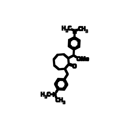 COC(c1ccc(N(C)C)cc1)C1CCCCCC(Cc2ccc(N(C)C)cc2)C1=O